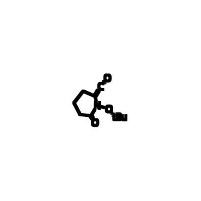 CC(C)(C)ON1C(=O)CCCC1=C=O